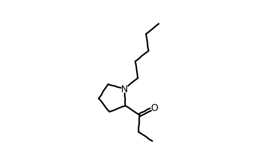 CCCCCN1CCCC1C(=O)CC